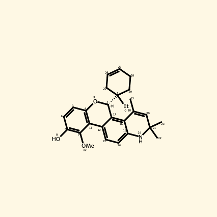 CCC1([C@H]2Oc3ccc(O)c(OC)c3-c3ccc4c(c32)C(C)=CC(C)(C)N4)CC=CCC1